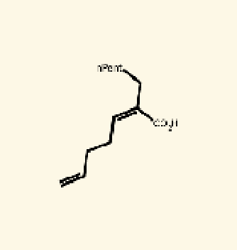 C=CCCC=C(CCCCCC)C(=O)O